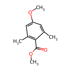 COC(=O)c1c(C)cc(OC)cc1C